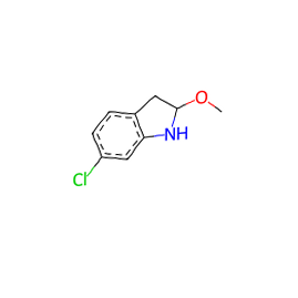 COC1Cc2ccc(Cl)cc2N1